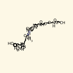 C#CCOC(=O)NCCOCCOCCC(=O)NCc1cnc(N2CCN(/C(N=C)=N/C=C(\C)C(=O)NCCCCn3nc(-c4cc5cc(O)ccc5[nH]4)c4c(N)ncnc43)CC2)nc1